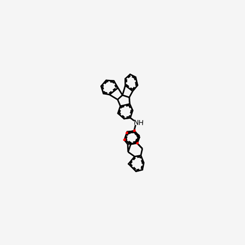 c1ccc2c(c1)C1c3ccccc3C2c2cc(Nc3ccc4c(c3)C3c5ccccc5C35c3ccccc3C45)ccc21